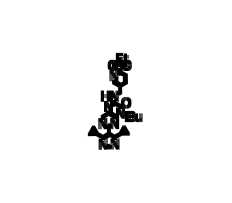 CC[C@@H](C)n1c(=O)c(NCc2ccc(S(=O)(=O)CC)nc2)nc2cnc(-c3c(C4CC4)ncnc3C3CC3)nc21